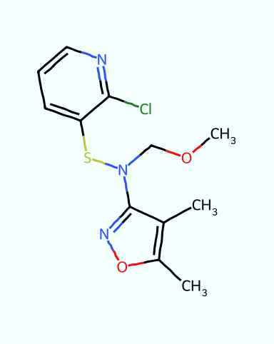 COCN(Sc1cccnc1Cl)c1noc(C)c1C